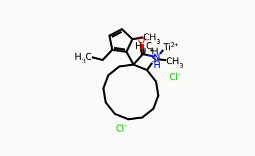 CCC1=C(C2(C(=O)[NH][Ti+2])CCCCCCCCCCC2[SiH](C)C)C(C)C=C1.[Cl-].[Cl-]